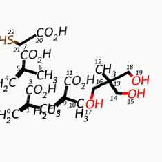 C=C(C)C(=O)O.C=C(C)C(=O)O.C=C(C)C(=O)O.CC(CO)(CO)CO.O=C(O)CS